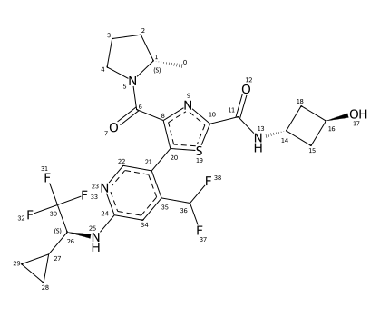 C[C@H]1CCCN1C(=O)c1nc(C(=O)N[C@H]2C[C@H](O)C2)sc1-c1cnc(N[C@@H](C2CC2)C(F)(F)F)cc1C(F)F